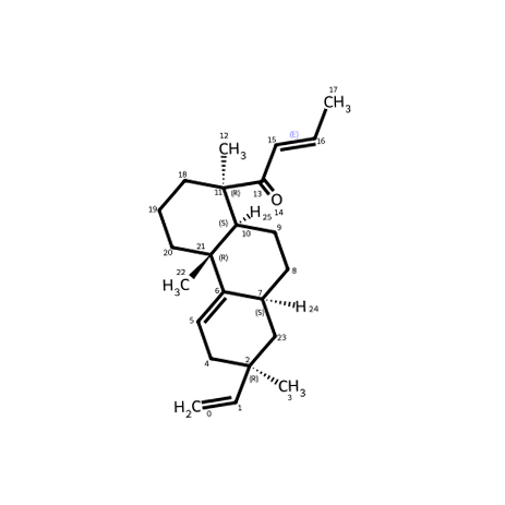 C=C[C@@]1(C)CC=C2[C@@H](CC[C@@H]3[C@](C)(C(=O)/C=C/C)CCC[C@@]23C)C1